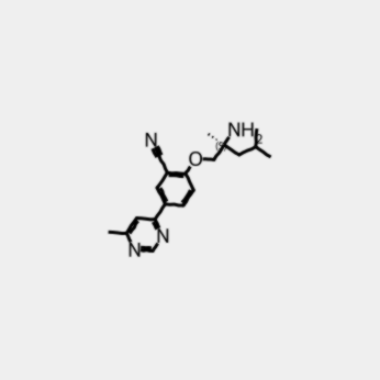 Cc1cc(-c2ccc(OC[C@@](C)(N)CC(C)C)c(C#N)c2)ncn1